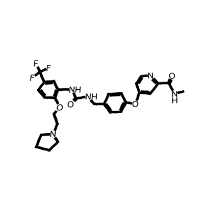 CNC(=O)c1cc(Oc2ccc(CNC(=O)Nc3cc(C(F)(F)F)ccc3OCCN3CCCC3)cc2)ccn1